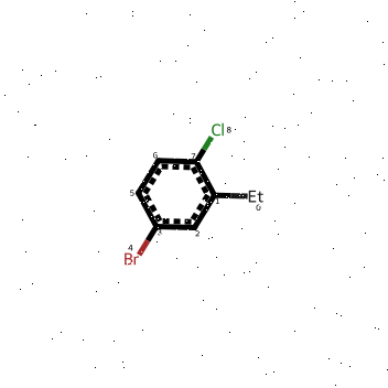 CCc1cc(Br)ccc1Cl